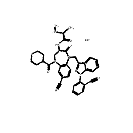 CNC(C)C(=O)NC1CN(C(=O)C2CCOCC2)c2cc(C#N)ccc2N(Cc2nn(-c3ccccc3C#N)c3ccccc23)C1=O.Cl